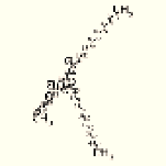 CCCCCCCCCCCCCCC(=O)OCC(COC(=O)COCCOCC)OC(=O)CCCCCCCCCCCCCC